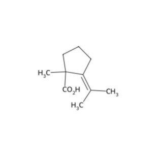 CC(C)=C1CCCC1(C)C(=O)O